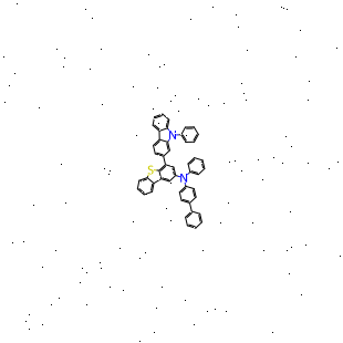 c1ccc(-c2ccc(N(c3ccccc3)c3cc(-c4ccc5c6ccccc6n(-c6ccccc6)c5c4)c4sc5ccccc5c4c3)cc2)cc1